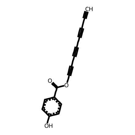 C#CC#CC#CC#COC(=O)c1ccc(O)cc1